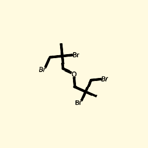 CC(Br)(CBr)COCC(C)(Br)CBr